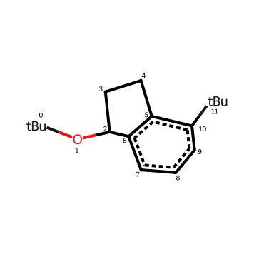 CC(C)(C)OC1CCc2c1cccc2C(C)(C)C